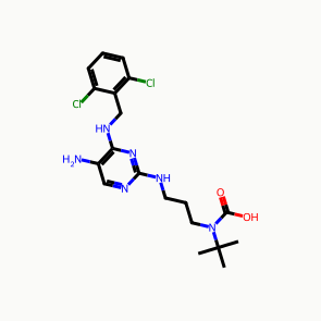 CC(C)(C)N(CCCNc1ncc(N)c(NCc2c(Cl)cccc2Cl)n1)C(=O)O